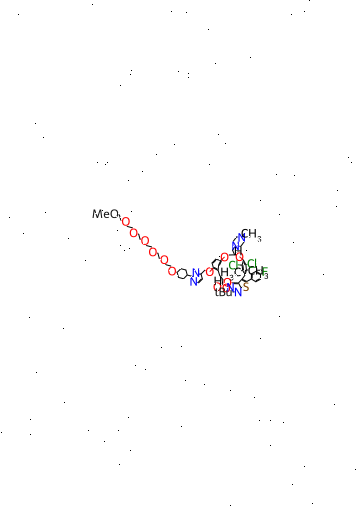 COCCOCCOCCOCCOCCOCCOC1CCC(c2nccc(COc3ccc4cc3C[C@H](C(=O)OC(C)(C)C)Oc3ncnc5sc(-c6ccc(F)cc6)c(c35)-c3c(C)c(Cl)c(c(Cl)c3C)O[C@H](CN3CCN(C)CC3)CO4)n2)CC1